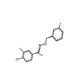 [CH2]c1cc(C(C)=NOCc2cccc(C)c2)ccc1Cl